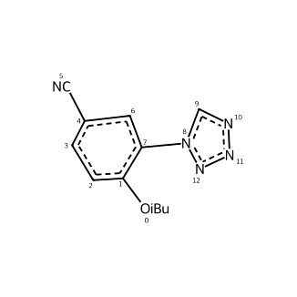 CC(C)COc1ccc(C#N)cc1-n1cnnn1